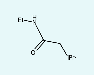 CCNC(=O)C[C](C)C